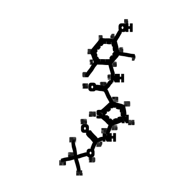 Cc1ccc(O)c(C)c1NC(=O)c1cnc(NC(=O)OC(C)(C)C)s1